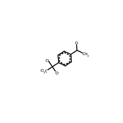 CC([O])c1ccc(C(Cl)(Cl)C(Cl)(Cl)Cl)cc1